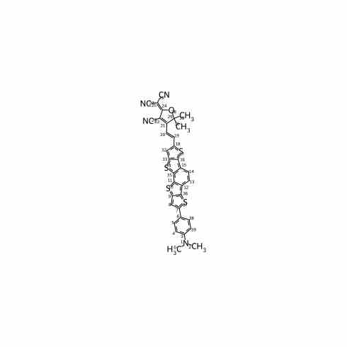 CN(C)c1ccc(-c2cc3sc4c(ccc5c6sc(/C=C/C7=C(C#N)C(=C(C#N)C#N)OC7(C)C)cc6sc54)c3s2)cc1